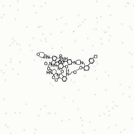 O=C1CCC(N2C(=O)c3cccc(NCCOCCOc4cccc(-c5ccc(Cl)cc5)c4CN4CCN(c5ccc(C(=O)NS(=O)(=O)c6ccc(NCC7CCOCC7)c([N+](=O)[O-])c6)c(Oc6cnc7[nH]ccc7c6)c5)CC4)c3C2=O)C(=O)N1